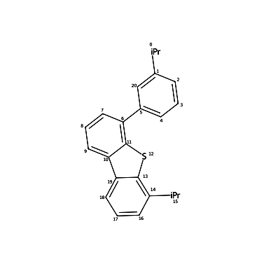 CC(C)c1cccc(-c2cccc3c2sc2c(C(C)C)cccc23)c1